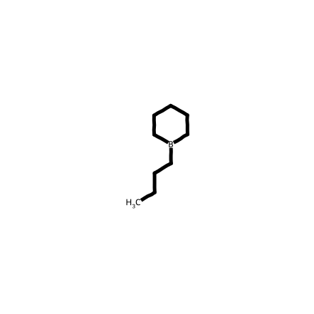 CCCCB1CCCCC1